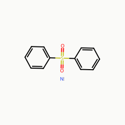 O=S(=O)(c1ccccc1)c1ccccc1.[N]